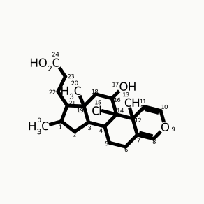 CC1CC2C3CCC4=COC=CC4(C)C3(Cl)C(O)CC2(C)C1CCC(=O)O